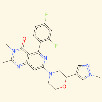 Cc1nc2cc(N3CCOC(c4cnn(C)c4)C3)nc(-c3ccc(F)cc3F)c2c(=O)n1C